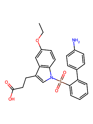 CCOc1ccc2c(c1)c(CCC(=O)O)cn2S(=O)(=O)c1ccccc1-c1ccc(N)cc1